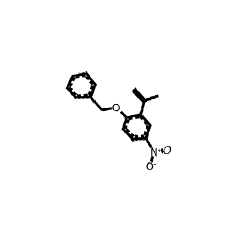 C=C(C)c1cc([N+](=O)[O-])ccc1OCc1ccccc1